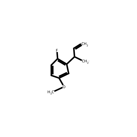 [CH2]C(C=C)c1cc(OC)ccc1F